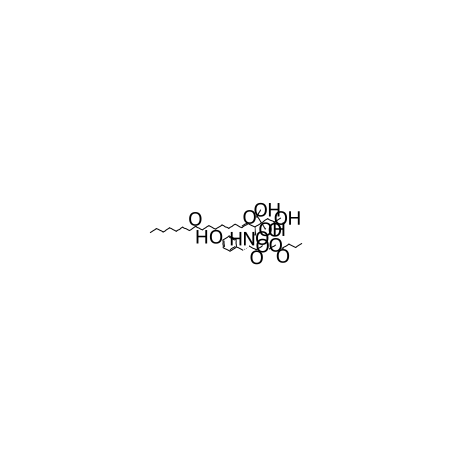 CCCCCCCC(=O)CCCCCC/C=C/[C@H](C(=O)N[C@@H](Cc1ccc(O)cc1)C(=O)OCOC(=O)CCC)[C@@](O)(CC(=O)O)C(=O)O